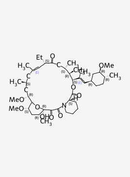 CC[C@H]1/C=C(\C)C[C@H](C)C[C@@H](OC)C2O[C@@](O)(C(=O)C(=O)N3CCCC[C@H]3C(=O)O[C@H](/C(C)=C/[C@@H]3CC[C@@H](C)[C@H](OC)C3)[C@H](C)[C@@H](C)CC1=O)[C@H](C)C[C@@H]2OC